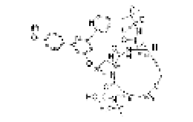 CC(C)Oc1ccc(-c2cc(O[C@@H]3C[C@H]4C(=O)N[C@]5(C(=O)NS(=O)(=O)C6(C)CC6)C[C@H]5C=CCC[C@@H](C)C[C@@H](C)[C@H](N(C(=O)O)C(C)(C)C(F)(F)F)C(=O)N4C3)cc(-c3ccccn3)n2)cc1